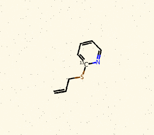 C=C[CH]S[13c]1ccccn1